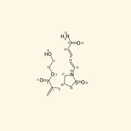 C=C(C)C(=O)OCCO.C=CC(N)=O.C=CN1CCCC1=O